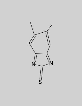 Cc1cc2c(cc1C)=NC(=S)N=2